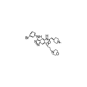 CN1CCC(=CC(=O)Nc2cc3c(Nc4cccc(Br)c4)ncnc3cc2OCCCN2CCOCC2)CC1